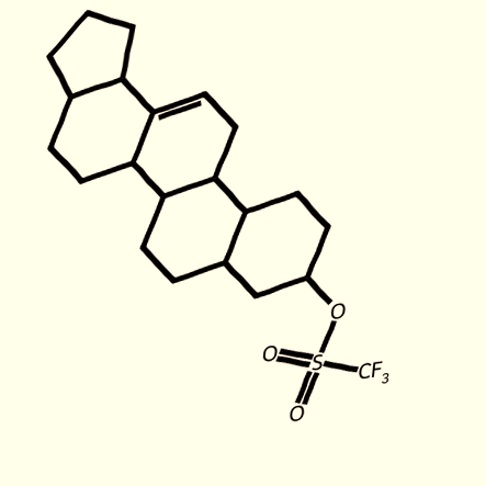 O=S(=O)(OC1CCC2C(CCC3C4CCC5CCCC5C4=CCC23)C1)C(F)(F)F